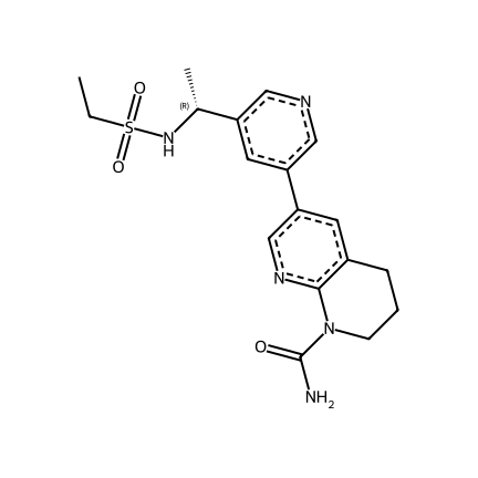 CCS(=O)(=O)N[C@H](C)c1cncc(-c2cnc3c(c2)CCCN3C(N)=O)c1